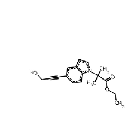 CCOC(=O)C(C)(C)n1ccc2cc(C#CCO)ccc21